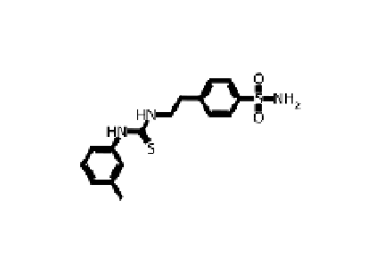 Cc1cccc(NC(=S)NCCc2ccc(S(N)(=O)=O)cc2)c1